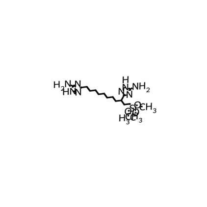 CO[Si](CCC(CCCCCCCCc1n[nH]c(N)n1)c1n[nH]c(N)n1)(OC)OC